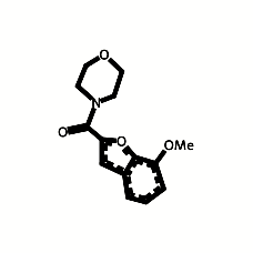 COc1cccc2cc(C(=O)N3CCOCC3)oc12